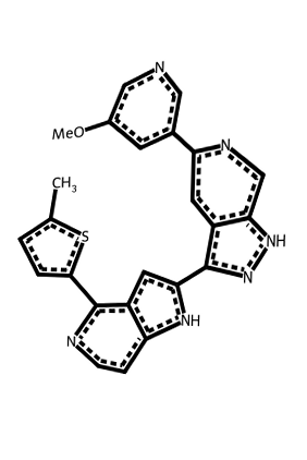 COc1cncc(-c2cc3c(-c4cc5c(-c6ccc(C)s6)nccc5[nH]4)n[nH]c3cn2)c1